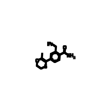 CC1=C(c2ccc(C(N)=O)c(CC(C)C)c2)SCCO1